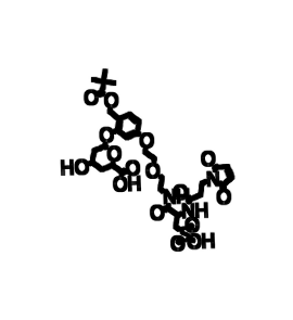 CC(C)(C)C(=O)OCc1ccc(OCCOCCNC(=O)C(CS(=O)(=O)O)NC(=O)CCN2C(=O)C=CC2=O)cc1OC1CC(O)CC(C(=O)O)O1